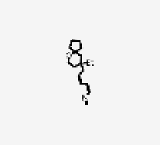 C=N/C=C\C=C/C[C@]1(CC)CCOC2(CCCC2)C1